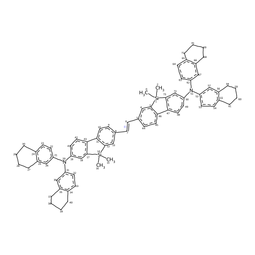 C[Si]1(C)c2cc(/C=C/c3ccc4c(c3)[Si](C)(C)c3cc(N(c5ccc6c(c5)CCCC6)c5ccc6c(c5)CCCC6)ccc3-4)ccc2-c2ccc(N(c3ccc4c(c3)CCCC4)c3ccc4c(c3)CCCC4)cc21